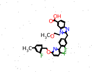 COCCn1c(Cc2ccc(-c3nc(OCc4ccc(C)cc4F)ccc3F)c(F)c2)nc2ccc(C(=O)O)cc21